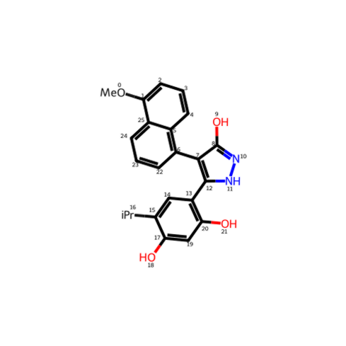 COc1cccc2c(-c3c(O)n[nH]c3-c3cc(C(C)C)c(O)cc3O)cccc12